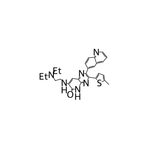 CCN(CC)CCNc1cc2nc(-c3ccc4ncccc4c3)c(-c3ccc(C)s3)nc2[nH]c1=O